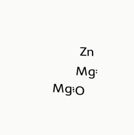 [Mg].[Mg].[O].[Zn]